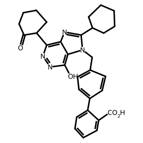 O=C(O)c1ccccc1-c1ccc(Cn2c(C3CCCCC3)nc3c(C4CCCCC4=O)nnc(O)c32)cc1